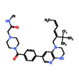 C/C=C\C=C(\CN1CCNc2ncc(-c3ccc(C(=O)N4CCN(CC(=O)NC(C)C)CC4)cc3)cc21)C(C)(C)C(F)(F)F